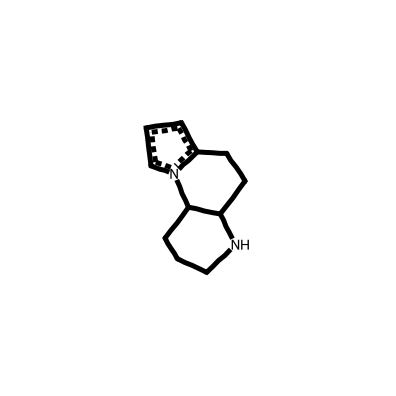 c1cc2n(c1)C1CCCNC1CC2